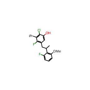 COc1cccc(F)c1C(C)Cc1cc(O)c(Cl)c(C(C)C)c1F